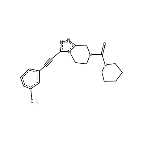 Cc1cccc(C#Cc2nnc3n2CCN(C(=O)N2CCCCC2)C3)c1